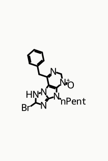 CCCCCN1C2=NC(Br)NN2C2=C1[N+](=O)CN=C2Cc1ccccc1